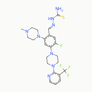 CN1CCN(c2cc(N3CCN(c4ncccc4C(F)(F)F)CC3)c(F)cc2C=NNC(N)=S)CC1